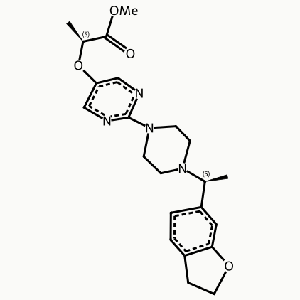 COC(=O)[C@H](C)Oc1cnc(N2CCN([C@@H](C)c3ccc4c(c3)OCC4)CC2)nc1